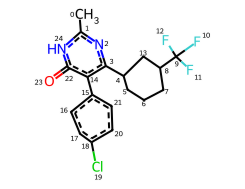 Cc1nc(C2CCCC(C(F)(F)F)C2)c(-c2ccc(Cl)cc2)c(=O)[nH]1